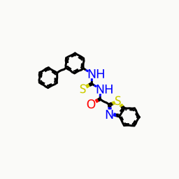 O=C(NC(=S)Nc1cccc(-c2ccccc2)c1)c1nc2ccccc2s1